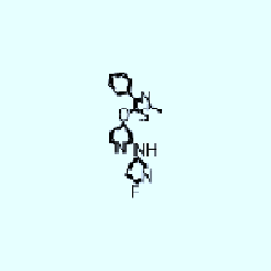 Cc1nc(-c2ccccc2)c(Oc2ccnc(Nc3ccc(F)nc3)c2)s1